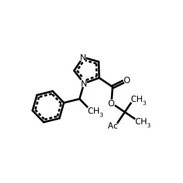 CC(=O)C(C)(C)OC(=O)c1cncn1C(C)c1ccccc1